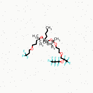 CCCC[Si](C)(O[Si](C)(C)CCCOCCC(F)(F)F)[SiH](C)O[Si](C)(C)OCCCOCC(F)(OC(F)(F)C(F)(F)C(F)(F)F)C(F)(F)F